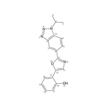 CC(C)n1nnc2cc(-c3ncc(-c4ccccc4O)o3)ccc21